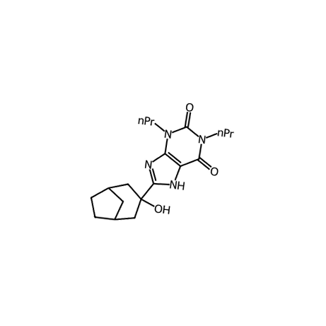 CCCn1c(=O)c2[nH]c(C3(O)CC4CCC(C4)C3)nc2n(CCC)c1=O